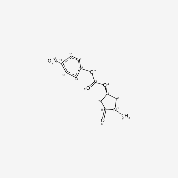 CN1C[C@H](OC(=O)Oc2ccc([N+](=O)[O-])cc2)CC1=O